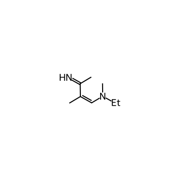 CCN(C)/C=C(/C)C(C)=N